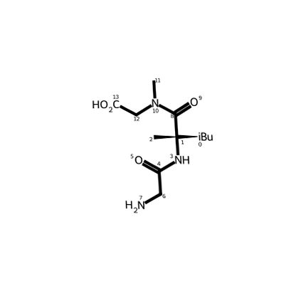 CC[C@H](C)[C@](C)(NC(=O)CN)C(=O)N(C)CC(=O)O